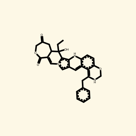 CCC1(O)c2c3c(cn2C=C2C(=O)OCC(=O)CC21)C=c1c(ccc2c1=C(Cc1ccccc1)NCO2)N3